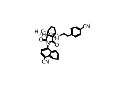 C[C@]12CC[C@](CCCc3ccc(C#N)cc3)(O1)[C@@H]1C(=O)N(c3ccc(C#N)c4ccccc34)C(=O)[C@@H]12